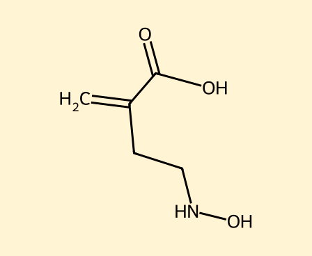 C=C(CCNO)C(=O)O